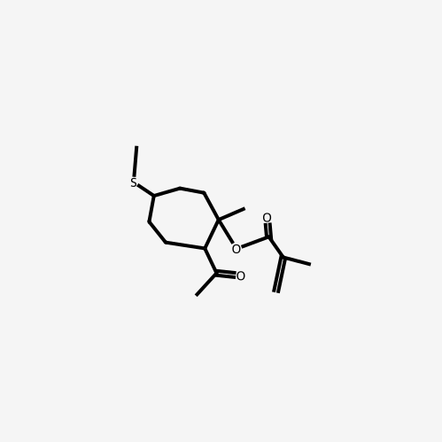 C=C(C)C(=O)OC1(C)CCC(SC)CCC1C(C)=O